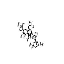 Cc1cc(C(=O)NC[C@@H]2CC(F)(F)CCN2)nc2c(C(F)(F)F)cc(OC(F)F)cc12